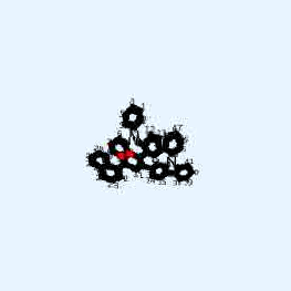 c1ccc(N(c2ccccc2)c2ccccc2-c2ccc(-c3cccc4ccccc34)cc2-c2ccc3c4ccccc4n(-c4ccccc4)c3c2)cc1